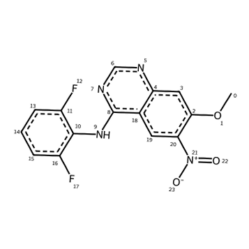 COc1cc2ncnc(Nc3c(F)cccc3F)c2cc1[N+](=O)[O-]